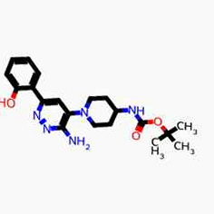 CC(C)(C)OC(=O)NC1CCN(c2cc(-c3ccccc3O)nnc2N)CC1